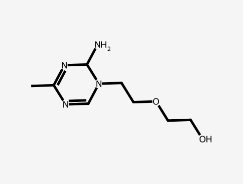 CC1=NC(N)N(CCOCCO)C=N1